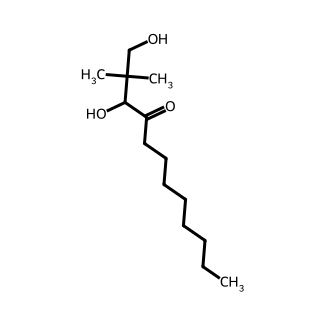 CCCCCCCCC(=O)C(O)C(C)(C)CO